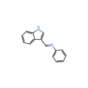 [c]1ccc(/N=C/c2c[nH]c3ccccc23)cc1